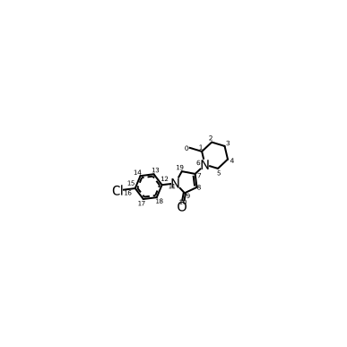 CC1CCCCN1C1=CC(=O)N(c2ccc(Cl)cc2)C1